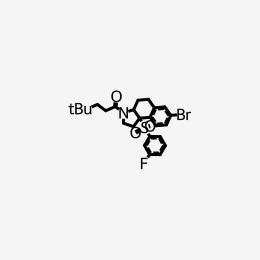 CC(C)(C)CCC(=O)N1CCC2(S(=O)(=O)c3cccc(F)c3)c3ccc(Br)cc3CCC12